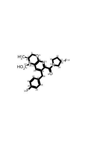 C[C@H]1COc2nc(C(=O)N3CC[C@H](F)C3)c(Cc3ccc(F)cc3)cc2N1C(=O)O